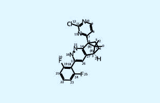 CC1(C)[C@H]2CC[C@@]1(c1ccnc(Cl)n1)c1nnc(-c3c(F)cccc3F)cc12